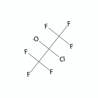 [O]C(Cl)(C(F)(F)F)C(F)(F)F